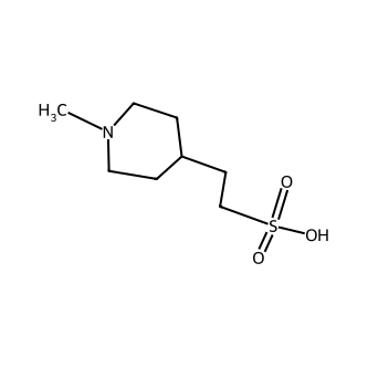 CN1CCC(CCS(=O)(=O)O)CC1